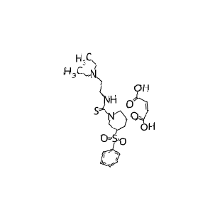 CCN(CC)CCNC(=S)N1CCCC(S(=O)(=O)c2ccccc2)C1.O=C(O)/C=C\C(=O)O